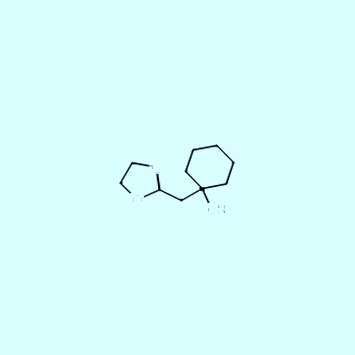 N#CC1(CC2OCCO2)CCCCC1